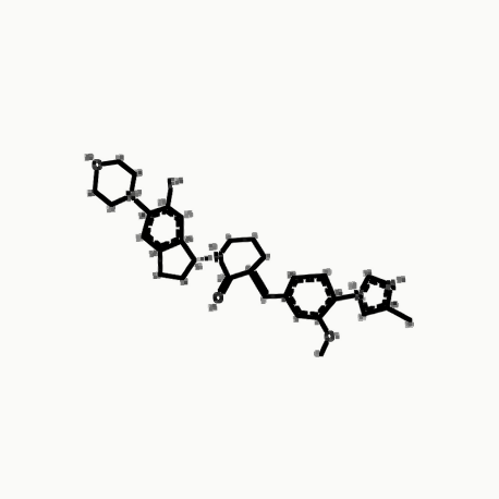 COc1cc(/C=C2\CCCN([C@@H]3CCc4cc(N5CCOCC5)c(F)cc43)C2=O)ccc1-n1cnc(C)c1